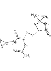 CC(=O)OC(CC[C@@H]1CC(C)(C)NC1=O)C(=O)NC1CC1